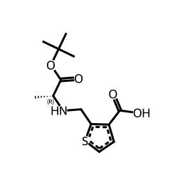 C[C@@H](NCc1sccc1C(=O)O)C(=O)OC(C)(C)C